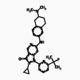 CN(C)C1CCc2cc(Nc3cc4c(cn3)c(=O)n(C3CC3)n4-c3cccc(C(C)(C)F)n3)ccc2C1